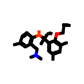 CCCC(C)(Pc1ccc(C)cc1CN(C)C)c1cc(C)cc(C)c1OCOC